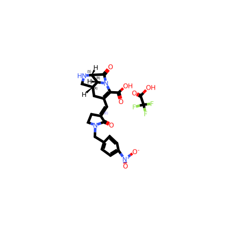 O=C(O)C(F)(F)F.O=C(O)C1=C(/C=C2\CCN(Cc3ccc([N+](=O)[O-])cc3)C2=O)C[C@@H]2CN[C@@H]3C(=O)N1[C@H]23